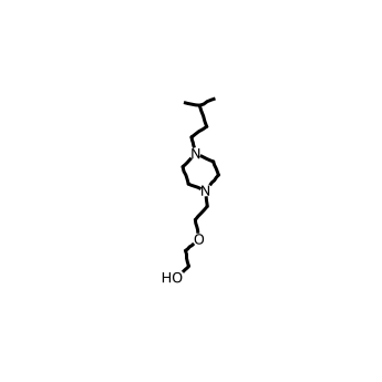 CC(C)CCN1CCN(CCOCCO)CC1